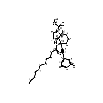 CCCCCCCCCCC(=O)O[C@@]1(C#Cc2cccc(C)c2)CCC[C@@H]2[C@H]1CCN2C(=O)OC